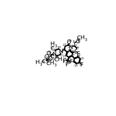 COC[C@H]1CSc2c(-c3ccc(F)cc3F)c(C(F)(F)F)cc3c2N1C(=O)CC3N1C[C@@H](C)N(C(=O)OC(C)(C)C)[C@@H](C)C1